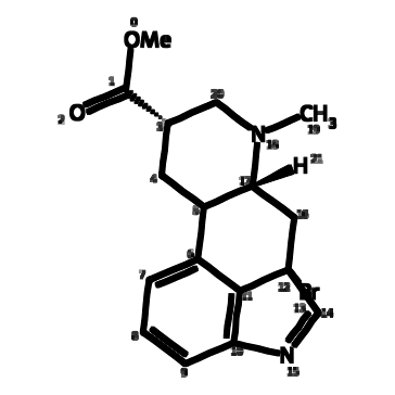 COC(=O)[C@H]1CC2c3cccc4c3C(Br)(C=N4)C[C@H]2N(C)C1